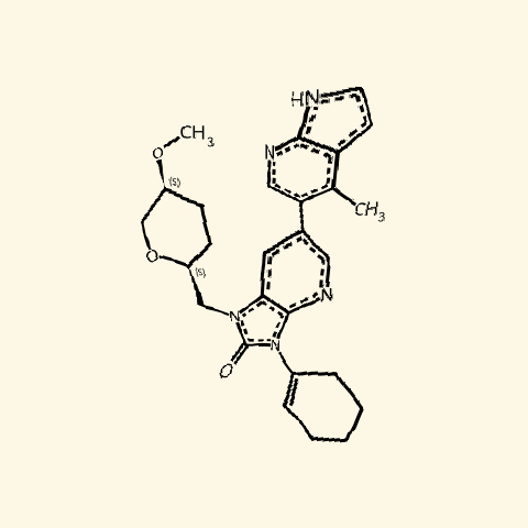 CO[C@H]1CC[C@@H](Cn2c(=O)n(C3=CCCCC3)c3ncc(-c4cnc5[nH]ccc5c4C)cc32)OC1